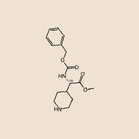 COC(=O)[C@@H](NC(=O)OCc1ccccc1)C1CCNCC1